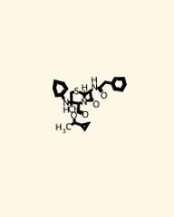 CC(OC(=O)C1N2C(=O)C(NC(=O)Cc3ccccc3)[C@@H]2SCC1(C)Nc1ccccc1)C1CC1